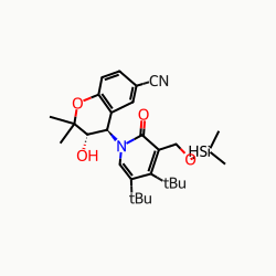 C[SiH](C)OCc1c(C(C)(C)C)c(C(C)(C)C)cn([C@@H]2c3cc(C#N)ccc3OC(C)(C)[C@H]2O)c1=O